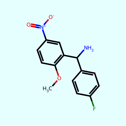 COc1ccc([N+](=O)[O-])cc1C(N)c1ccc(F)cc1